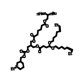 CC/C=C\CCCCOC(CCC(=O)OCC(COC(=O)CCCCC(=O)OCC(CCCC)CCCCCC)COC(=O)OCC1CCCN(CC)C1)OCCCC/C=C\CC